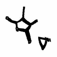 C1CN1.CC1=C(C)C(=O)OC1=O